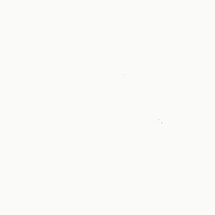 CCC(CCC#N)C(=O)c1ccccc1O